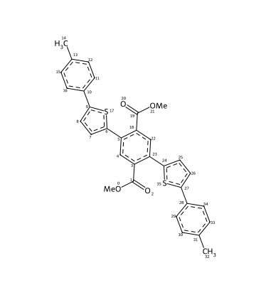 COC(=O)c1cc(-c2ccc(-c3ccc(C)cc3)s2)c(C(=O)OC)cc1-c1ccc(-c2ccc(C)cc2)s1